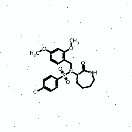 COc1ccc(CN(C2CCCCNC2=O)S(=O)(=O)c2ccc(Cl)cc2)c(OC)c1